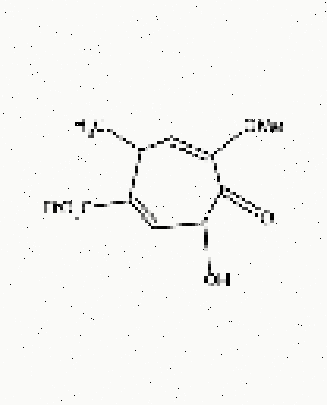 CCOC(=O)C1=CC(O)C(=O)C(OC)=CC1C